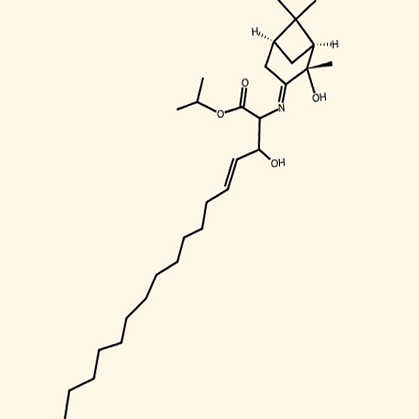 CCCCCCCCCCCCC/C=C/C(O)C(/N=C1\C[C@@H]2C[C@@H](C2(C)C)[C@]1(C)O)C(=O)OC(C)C